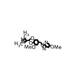 COc1cnc2c(c1)ncn2Cc1cc(OC)c2c(c1)OCC(c1cn(C)nc1C)O2